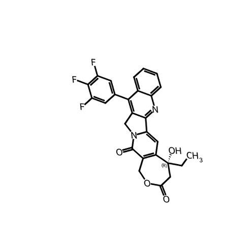 CC[C@@]1(O)CC(=O)OCc2c1cc1n(c2=O)Cc2c-1nc1ccccc1c2-c1cc(F)c(F)c(F)c1